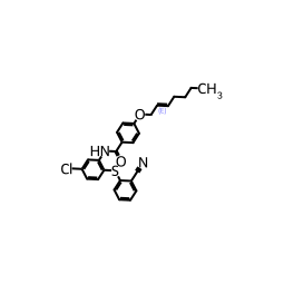 CCCC/C=C/COc1ccc(C(=O)Nc2cc(Cl)ccc2Sc2ccccc2C#N)cc1